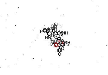 COC(=O)CCC(NC(=O)C(Cc1cn(C)c2ccc(F)cc12)NCCNC(=O)c1ccc(-c2c3ccc(=O)cc-3oc3cc(O)ccc23)c(C(=O)O)c1)C(=O)NC(Cc1c[nH]cn1)C(=O)NC(CC(=O)OC)C(=O)COc1ccccc1